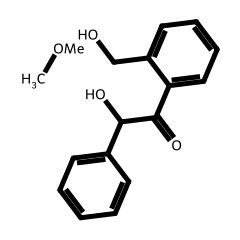 COC.O=C(c1ccccc1CO)C(O)c1ccccc1